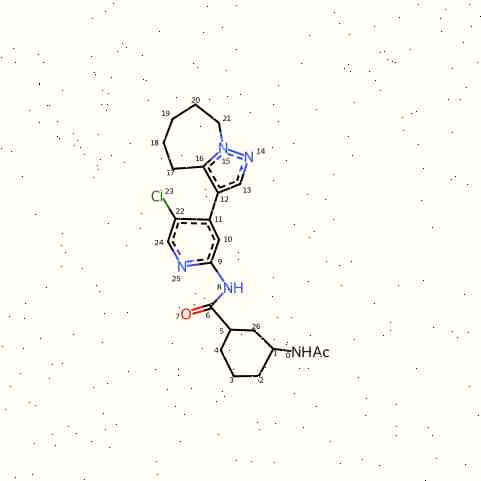 CC(=O)NC1CCCC(C(=O)Nc2cc(-c3cnn4c3CCCCC4)c(Cl)cn2)C1